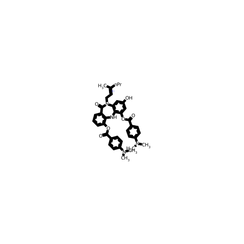 CCC/C(C)=C/CN1C(=O)c2cccc(OC(=O)c3ccc(N(C)C)cc3)c2Nc2c(OC(=O)c3ccc(N(C)C)cc3)cc(O)cc21